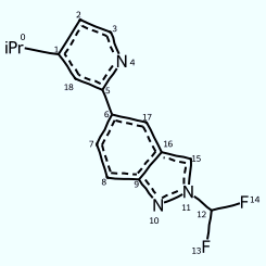 CC(C)c1ccnc(-c2ccc3nn(C(F)F)cc3c2)c1